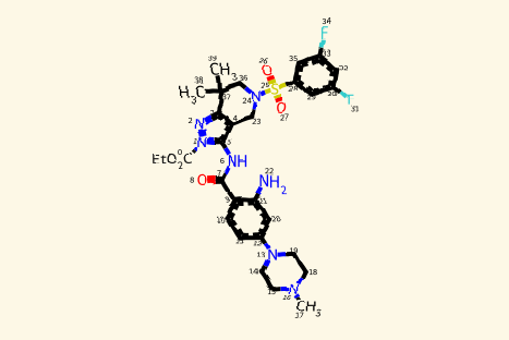 CCOC(=O)n1nc2c(c1NC(=O)c1ccc(N3CCN(C)CC3)cc1N)CN(S(=O)(=O)c1cc(F)cc(F)c1)CC2(C)C